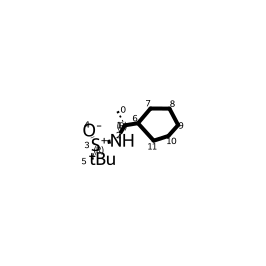 C[C@@H](N[S@@+]([O-])C(C)(C)C)C1CCCCC1